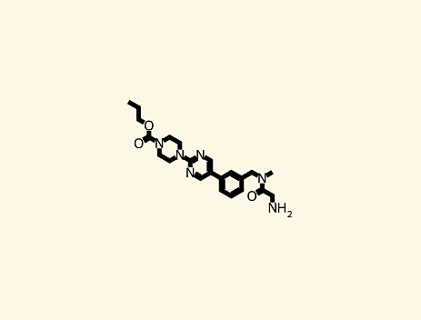 CCCOC(=O)N1CCN(c2ncc(-c3cccc(CN(C)C(=O)CN)c3)cn2)CC1